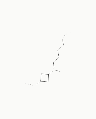 CN(CCCCOC(C)(C)C)C1CC(OC(C)(C)C)C1